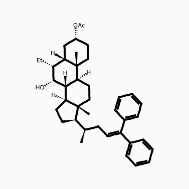 CC[C@H]1[C@@H](O)[C@@H]2[C@H](CC[C@]3(C)[C@@H]([C@H](C)CC=C(c4ccccc4)c4ccccc4)CC[C@@H]23)[C@@]2(C)CC[C@@H](OC(C)=O)C[C@@H]12